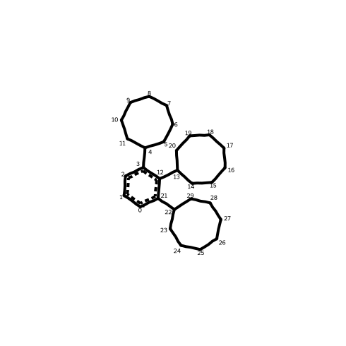 [c]1ccc(C2CCCCCCC2)c(C2CCCCCCC2)c1C1CCCCCCC1